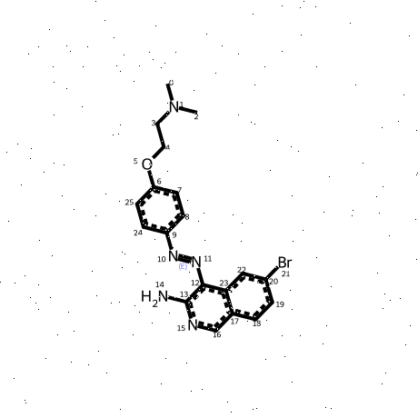 CN(C)CCOc1ccc(/N=N/c2c(N)ncc3ccc(Br)cc23)cc1